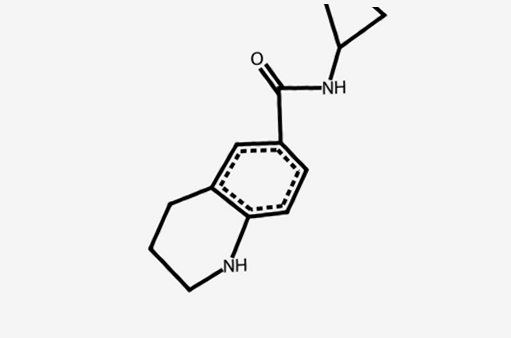 O=C(NC1COC1)c1ccc2c(c1)CCCN2